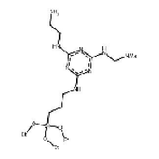 CCO[Si](CCCNc1nc(NCCN)nc(NCNC)n1)(OCC)OCC